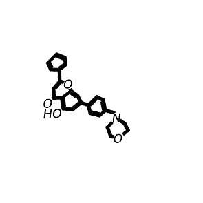 O=c1cc(-c2ccccc2)oc2cc(-c3ccc(CN4CCOCC4)cc3)cc(O)c12